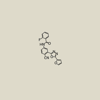 N#Cc1ccc(NC(=O)c2ccccc2F)cc1-c1nnc(-c2ccco2)o1